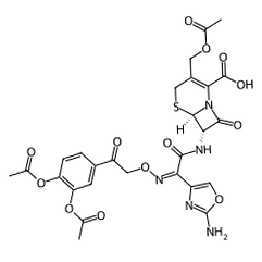 CC(=O)OCC1=C(C(=O)O)N2C(=O)[C@H](NC(=O)/C(=N\OCC(=O)c3ccc(OC(C)=O)c(OC(C)=O)c3)c3coc(N)n3)[C@H]2SC1